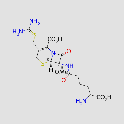 CO[C@@]1(NC(=O)CCCC(N)C(=O)O)C(=O)N2C(C(=O)O)=C(C[S+]=C(N)N)CS[C@H]21